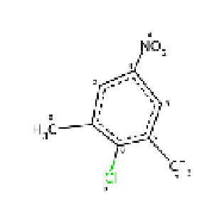 Cc1cc([N+](=O)[O-])cc(C(F)(F)F)c1Cl